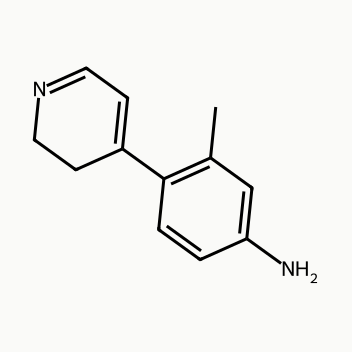 Cc1cc(N)ccc1C1=CC=NCC1